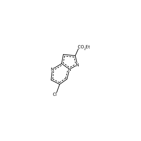 CCOC(=O)c1cc2ncc(Cl)cn2n1